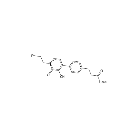 COC(=O)CCc1ccc(-c2ccn(CCC(C)C)c(=O)c2C#N)cc1